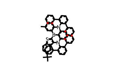 Cc1ccc2c(c1)B1c3sc4ccc(C(C)(C)C)cc4c3N(c3c(-c4ccccc4)cccc3-c3ccccc3)c3cccc(c31)N2c1c(-c2ccccc2)cccc1-c1ccccc1